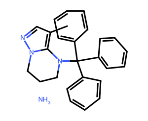 Cc1cnn2c1N(C(c1ccccc1)(c1ccccc1)c1ccccc1)CCC2.N